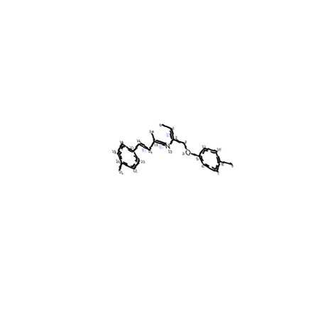 C\C=C(COc1ccc(C)cc1)/N=C(C)/C=C/c1ccc(C)cc1